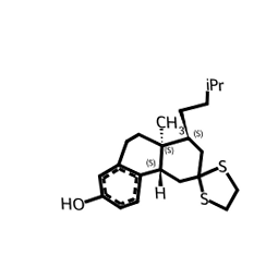 CC(C)CC[C@H]1CC2(C[C@@H]3c4ccc(O)cc4CC[C@@]13C)SCCS2